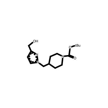 CC(C)(C)OC(=O)N1CCC(Cn2ccc(CO)n2)CC1